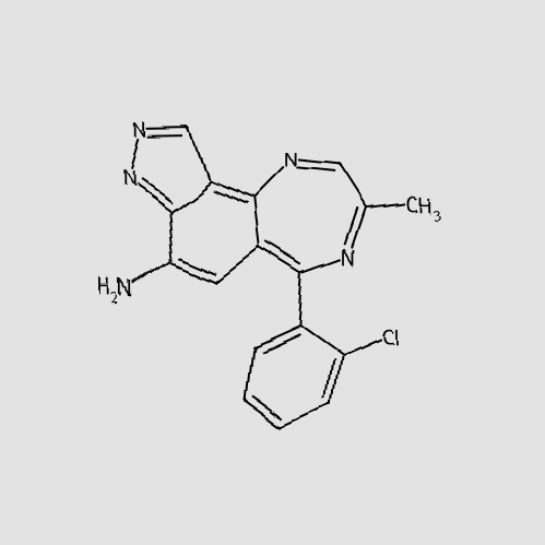 Cc1cnc2c(cc(N)c3nncc32)c(-c2ccccc2Cl)n1